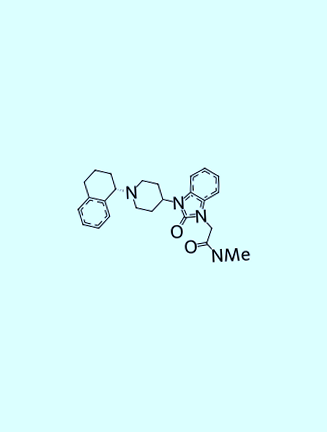 CNC(=O)Cn1c(=O)n(C2CCN([C@H]3CCCc4ccccc43)CC2)c2ccccc21